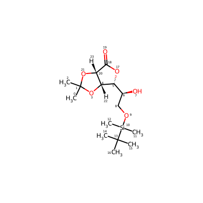 CC1(C)O[C@H]2[C@@H]([C@@H](O)CO[Si](C)(C)C(C)(C)C)OC(=O)[C@H]2O1